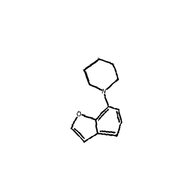 [CH]1[CH]CN(c2cccc3ccoc23)CC1